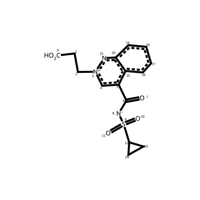 O=C(O)CC[n+]1cc(C(=O)[N-]S(=O)(=O)C2CC2)c2ccccc2n1